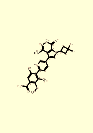 COc1c(C(N)=O)cc(F)c(-c2ccc(-c3cn(C4CC(F)(F)C4)c4c(=O)[nH]nc(N)c34)cn2)c1C